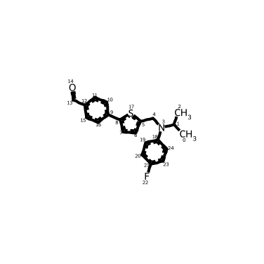 CC(C)N(Cc1ccc(-c2ccc(C=O)cc2)s1)c1ccc(F)cc1